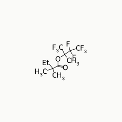 CCC(C)(C)C(=O)OC(C)(C(F)(F)F)C(F)(F)C(F)(F)F